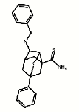 NC(=S)C12CC3CC(c4ccccc4)(CC1C3SCc1ccccc1)C2